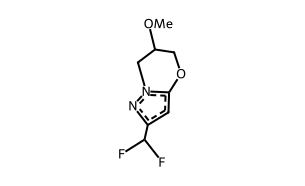 COC1COc2cc(C(F)F)nn2C1